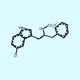 O=C(O)NC(Cc1ccccc1)Cc1c[nH]c2ccc(Cl)cc12